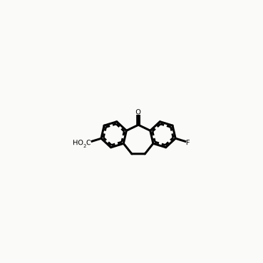 O=C(O)c1ccc2c(c1)CCc1cc(F)ccc1C2=O